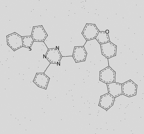 c1ccc(-c2nc(-c3cccc(-c4cccc5oc6ccc(-c7ccc8c9ccccc9c9ccccc9c8c7)cc6c45)c3)nc(-c3cccc4c3sc3ccccc34)n2)cc1